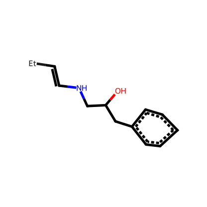 CCC=CNCC(O)Cc1ccccc1